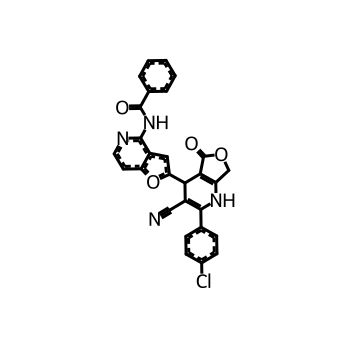 N#CC1=C(c2ccc(Cl)cc2)NC2=C(C(=O)OC2)C1c1cc2c(NC(=O)c3ccccc3)nccc2o1